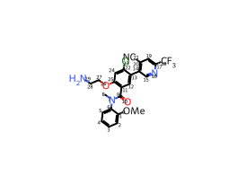 COc1ccccc1N(C)C(=O)c1cc(-c2cnc(C(F)(F)F)cc2C#N)c(Cl)cc1OCCN